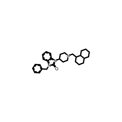 O=c1n(Cc2ccccc2)c2ccccc2n1C1CCN(CC2CCCC3CCCCC32)CC1